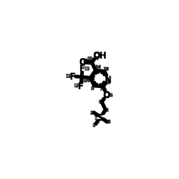 CS(C)(C)CCOc1cc(C(F)(F)F)c(C(=O)O)cn1